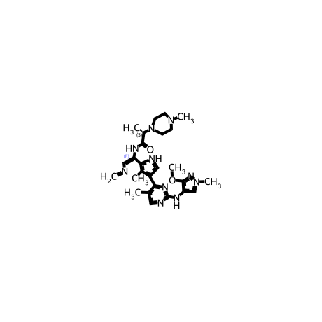 C=N/C=C(/NC(=O)[C@H](C)N1CCN(C)CC1)c1[nH]cc(-c2nc(Nc3cn(C)nc3OC)ncc2C)c1C